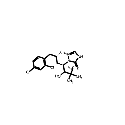 C[C@@H](Cc1ccc(Cl)cc1Cl)C[C@H](C(O)C(C)(C)C)n1nc[nH]c1=S